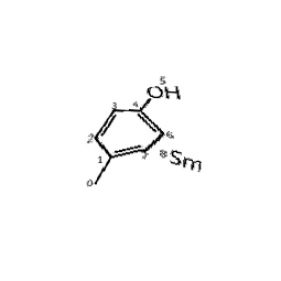 Cc1ccc(O)cc1.[Sm]